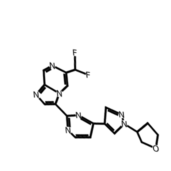 FC(F)c1cn2c(-c3nccc(-c4cnn(C5CCOC5)c4)n3)cnc2cn1